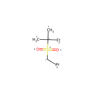 CCC(C)(C)S(=O)(=O)CC(C)C